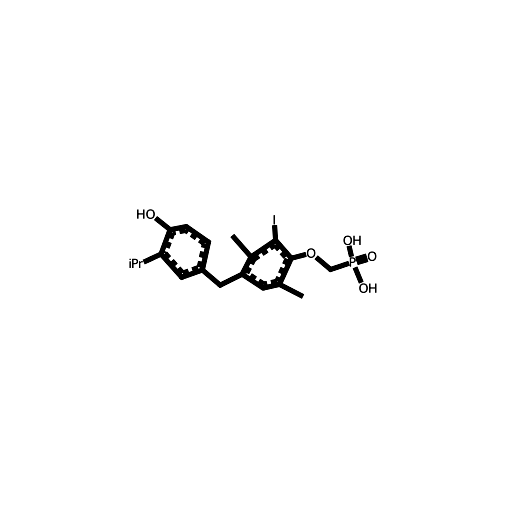 Cc1cc(Cc2ccc(O)c(C(C)C)c2)c(C)c(I)c1OCP(=O)(O)O